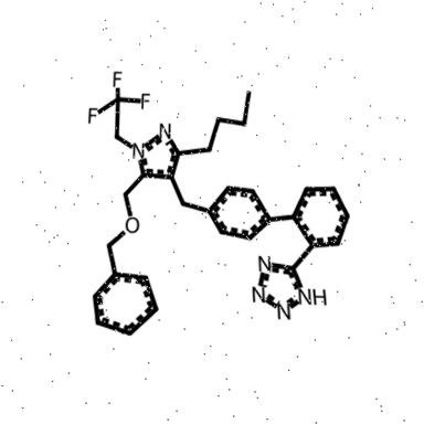 CCCCc1nn(CC(F)(F)F)c(COCc2ccccc2)c1Cc1ccc(-c2ccccc2-c2nnn[nH]2)cc1